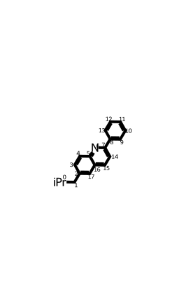 CC(C)Cc1ccc2nc(-c3ccccc3)ccc2c1